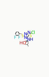 CC(C)C[C@H](CO)Nc1nc(SCc2cccc(F)c2F)nc2nc(Cl)sc12